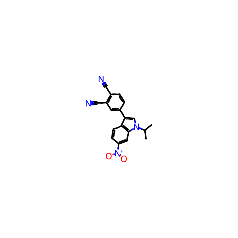 CC(C)n1cc(-c2ccc(C#N)c(C#N)c2)c2ccc([N+](=O)[O-])cc21